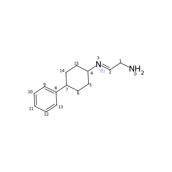 NC/C=N/C1CCC(c2ccccc2)CC1